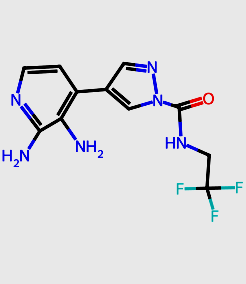 Nc1nccc(-c2cnn(C(=O)NCC(F)(F)F)c2)c1N